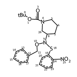 CC(C)(C)OC(=O)N1CCCC(N(OCc2ccccc2)Sc2ccccc2[N+](=O)[O-])C1